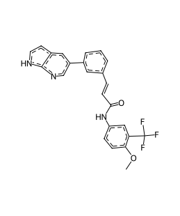 COc1ccc(NC(=O)C=Cc2cccc(-c3cnc4[nH]ccc4c3)c2)cc1C(F)(F)F